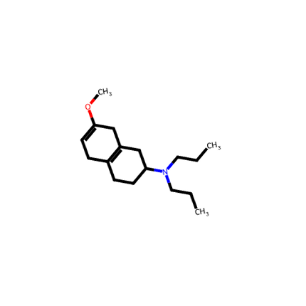 CCCN(CCC)C1CCC2=C(CC(OC)=CC2)C1